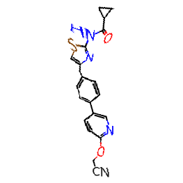 N#CCOc1ccc(-c2ccc(-c3csc(NC(=O)C4CC4)n3)cc2)cn1